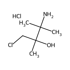 CC(C)(N)C(C)(O)CCl.Cl